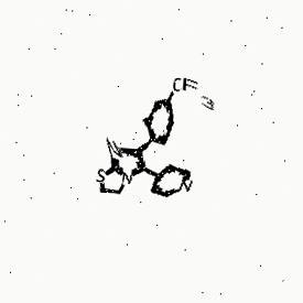 FC(F)(F)c1ccc(-c2nc3n(c2-c2ccncc2)CCS3)cc1